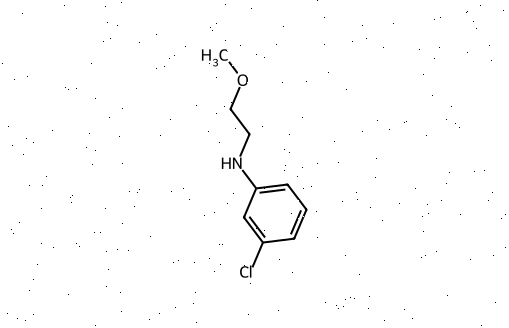 COCCNc1cccc(Cl)c1